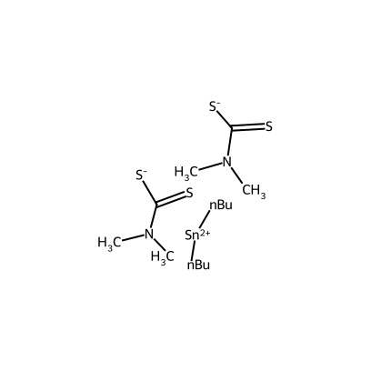 CCC[CH2][Sn+2][CH2]CCC.CN(C)C(=S)[S-].CN(C)C(=S)[S-]